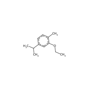 CCOc1cc([C](C)C)ccc1C